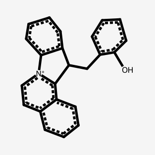 Oc1ccccc1CC1c2ccccc2-[n+]2ccc3ccccc3c21